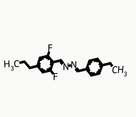 CCCc1cc(F)c(C=NN=Cc2ccc(CC)cc2)c(F)c1